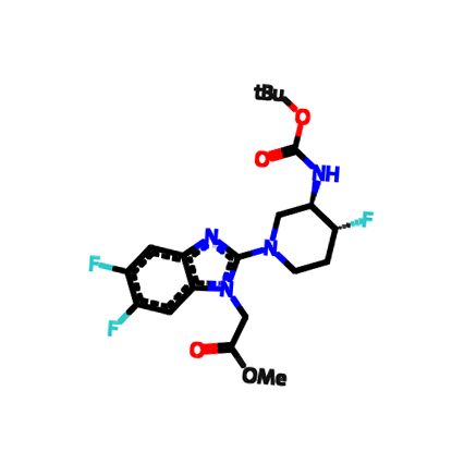 COC(=O)Cn1c(N2CC[C@@H](F)[C@H](NC(=O)OC(C)(C)C)C2)nc2cc(F)c(F)cc21